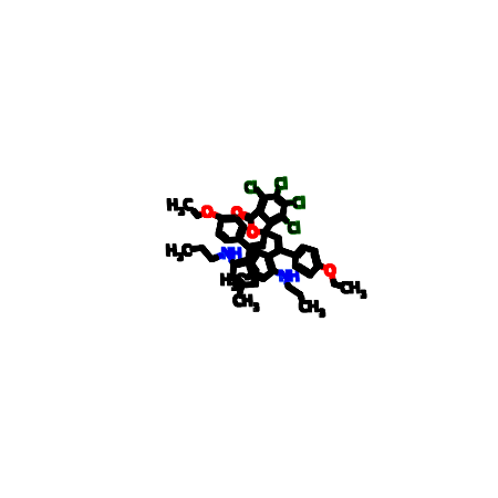 CCCNc1cc(C)ccc1C(=CC1(C=C(c2ccc(OCC)cc2)c2ccc(C)cc2NCCC)OC(=O)c2c(Cl)c(Cl)c(Cl)c(Cl)c21)c1ccc(OCC)cc1